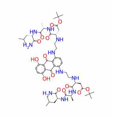 CC(C)C[C@H](NC(=O)[C@H](C)NC(=O)[C@H](CC(=O)OC(C)(C)C)NCCNc1ccc(NCCN[C@@H](CC(=O)OC(C)(C)C)C(=O)N[C@@H](C)C(=O)N[C@@H](CC(C)C)C(N)=O)c2c1C(=O)c1c(O)ccc(O)c1C2=O)C(N)=O